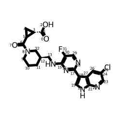 O=C(O)[C@H]1CC1C(=O)N1CCC[C@H](CNc2nc(-c3c[nH]c4ncc(Cl)cc34)ncc2F)C1